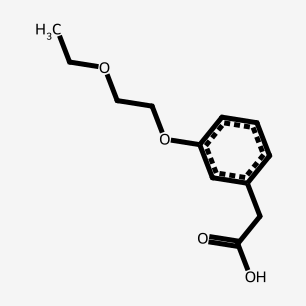 CCOCCOc1cccc(CC(=O)O)c1